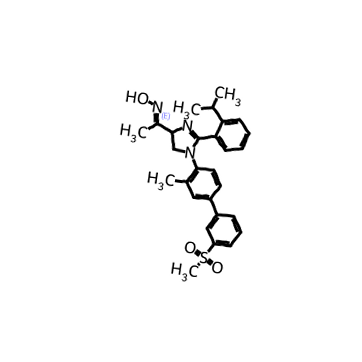 C/C(=N\O)C1CN(c2ccc(-c3cccc(S(C)(=O)=O)c3)cc2C)C(c2ccccc2C(C)C)=N1